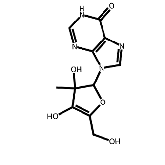 CC1(O)C(O)=C(CO)OC1n1cnc2c(=O)[nH]cnc21